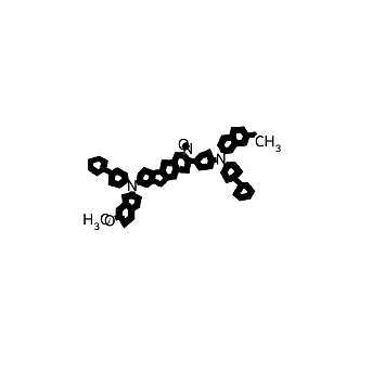 CCc1ccc2ccc(N(c3ccc(-c4ccccc4)cc3)c3ccc(-c4cc5cc6c(cc5cc4N=O)-c4ccc(N(c5ccc(C7=CCCC=C7)cc5)c5ccc7ccc(OC)cc7c5)cc4C6)cc3)cc2c1